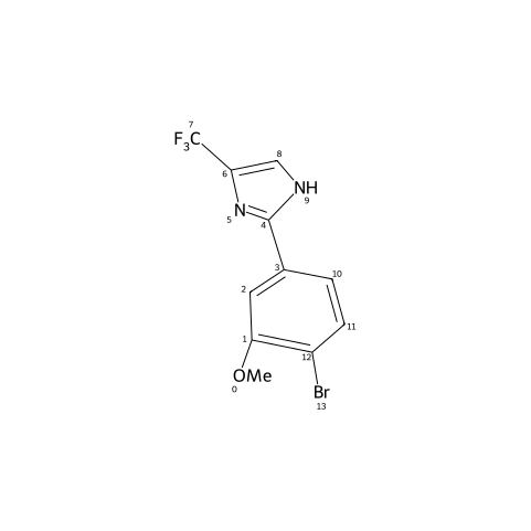 COc1cc(-c2nc(C(F)(F)F)c[nH]2)ccc1Br